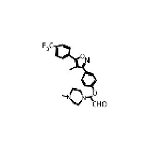 Cc1c(-c2ccc(OC(C=O)N3CCN(C)CC3)cc2)noc1-c1ccc(C(F)(F)F)cc1